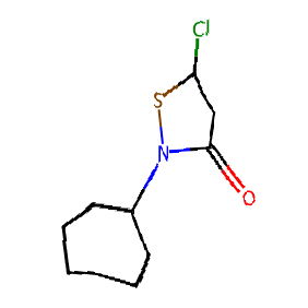 O=C1CC(Cl)SN1C1CCCCC1